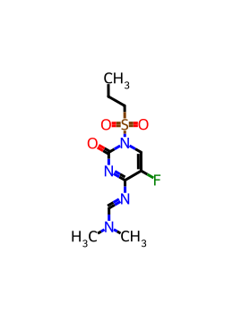 CCCS(=O)(=O)n1cc(F)c(/N=C/N(C)C)nc1=O